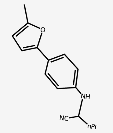 CCCC(C#N)Nc1ccc(-c2ccc(C)o2)cc1